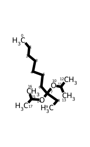 CCCCCCCC(CC)(OC(C)C)OC(C)C